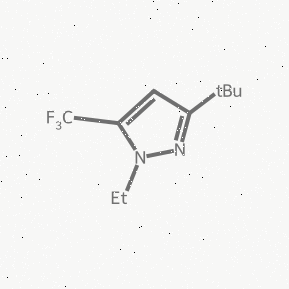 CCn1nc(C(C)(C)C)cc1C(F)(F)F